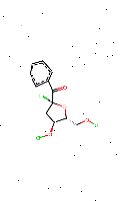 O=C(c1ccccc1)[C@@]1(Cl)C[C@H](OCl)[C@@H](COCl)O1